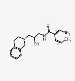 C/C=C\C(=C/N)C(=O)NCC(O)CN1CCc2ccccc2C1